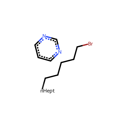 CCCCCCCCCCCCBr.c1cncnc1